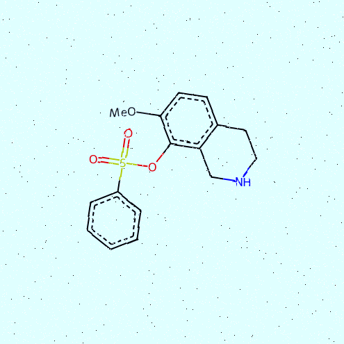 COc1ccc2c(c1OS(=O)(=O)c1ccccc1)CNCC2